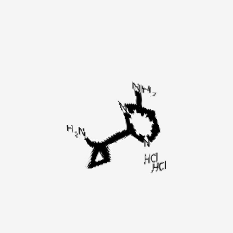 Cl.Cl.Nc1ccnc(C2(N)CC2)n1